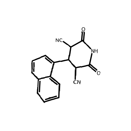 N#CC1C(=O)NC(=O)C(C#N)C1c1cccc2ccccc12